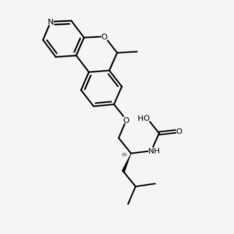 CC(C)C[C@@H](COc1ccc2c(c1)C(C)Oc1cnccc1-2)NC(=O)O